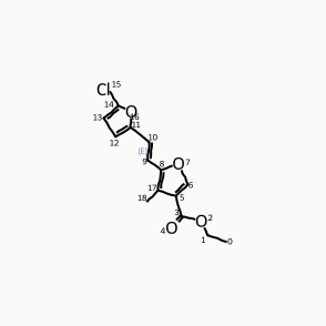 CCOC(=O)c1coc(/C=C/c2ccc(Cl)o2)c1C